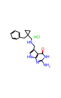 Cl.Nc1nc2[nH]cc(CNCC3(Cc4ccccc4)CC3)c2c(=O)[nH]1